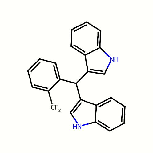 FC(F)(F)c1ccccc1C(c1c[nH]c2ccccc12)c1c[nH]c2ccccc12